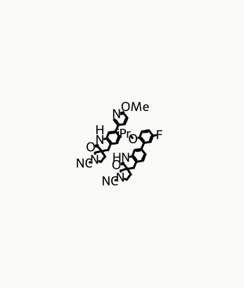 CC(C)Oc1ccc(F)cc1-c1ccc2c(c1)NC(=O)C1(CCN(C#N)C1)C2.COc1ccc(-c2ccc3c(c2)NC(=O)C2(CCN(C#N)C2)C3)cn1